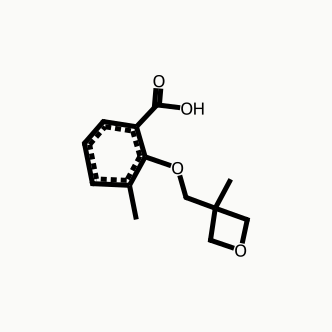 Cc1cccc(C(=O)O)c1OCC1(C)COC1